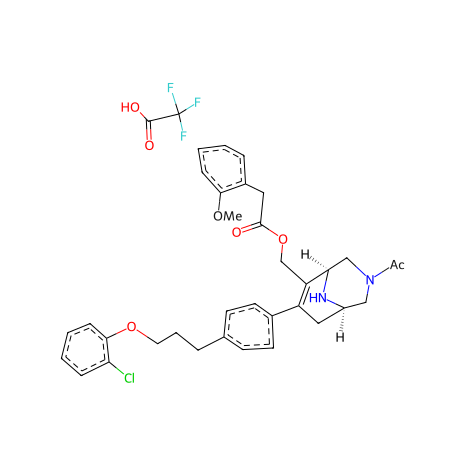 COc1ccccc1CC(=O)OCC1=C(c2ccc(CCCOc3ccccc3Cl)cc2)C[C@@H]2CN(C(C)=O)C[C@H]1N2.O=C(O)C(F)(F)F